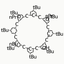 CCCCc1c2cc(C(C)(C)C)cc1Cc1cc(cc(C(C)(C)C)c1)Cc1cc(C(C)(C)C)cc(c1OCCC)Cc1cc(cc(C(C)(C)C)c1)Cc1cc(C(C)(C)C)cc(c1OCCC)Cc1cc(cc(C(C)(C)C)c1)Cc1cc(C(C)(C)C)cc(c1O)Cc1cc(cc(C(C)(C)C)c1)C2